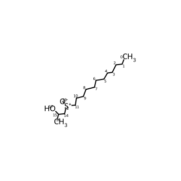 CCCCCCCCCCCC[S+]([O-])CC(C)O